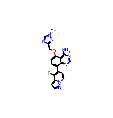 Cn1cnc(COc2ccc(-c3ccn4nccc4c3F)c3ncnc(N)c23)n1